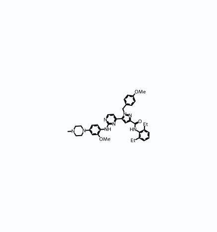 CCc1cccc(CC)c1NC(=O)c1cc(-c2ccnc(Nc3ccc(N4CCN(C)CC4)cc3OC)n2)n(Cc2ccc(OC)cc2)n1